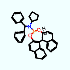 C1=C[C@@H]2OP(N(C3CCCC3)C(c3ccccc3)c3ccccc3)Oc3ccc4ccccc4c3C2c2ccccc21